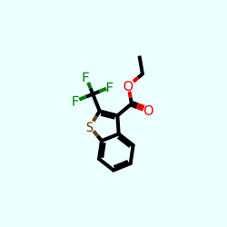 CCOC(=O)c1c(C(F)(F)F)sc2ccccc12